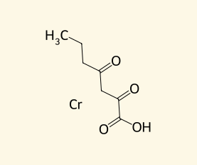 CCCC(=O)CC(=O)C(=O)O.[Cr]